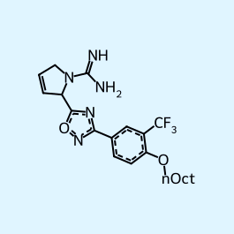 CCCCCCCCOc1ccc(-c2noc(C3C=CCN3C(=N)N)n2)cc1C(F)(F)F